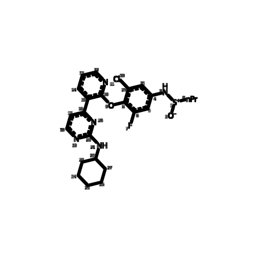 CCC[S+]([O-])Nc1cc(F)c(Oc2ncccc2-c2ccnc(NC3CCCCC3)n2)c(Cl)c1